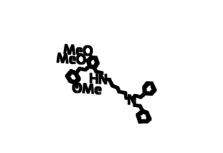 COc1cccc(CCc2c(CCNCCCCCCN(CCc3ccccc3)CCc3ccccc3)ccc(OC)c2OC)c1